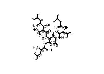 CC(C)CC(=O)N[C@H](C(=O)N[C@H](C(=O)N(C(=O)CC(O)C(N)CC(C)C)[C@@H](C)C(=O)C(C(=O)O)C(O)C(N)CC(C)C)C(C)C)C(C)C